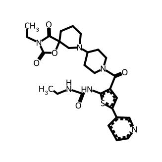 CCNC(=O)Nc1sc(-c2cccnc2)cc1C(=O)N1CCC(N2CCCC3(C2)OC(=O)N(CC)C3=O)CC1